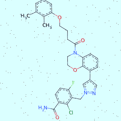 Cc1cccc(OCCCC(=O)N2CCOc3c(-c4cnn(Cc5c(F)ccc(C(N)=O)c5Cl)c4)cccc32)c1C